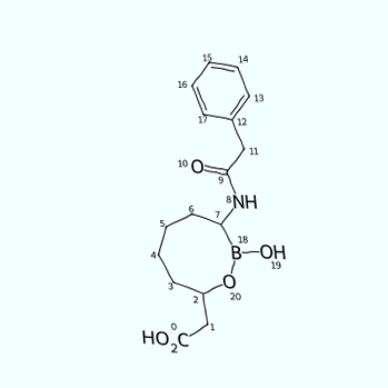 O=C(O)CC1CCCCC(NC(=O)Cc2ccccc2)B(O)O1